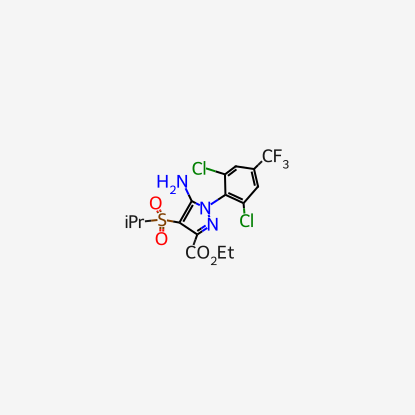 CCOC(=O)c1nn(-c2c(Cl)cc(C(F)(F)F)cc2Cl)c(N)c1S(=O)(=O)C(C)C